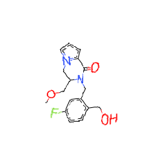 COCC1Cn2cccc2C(=O)N1Cc1cc(F)ccc1CO